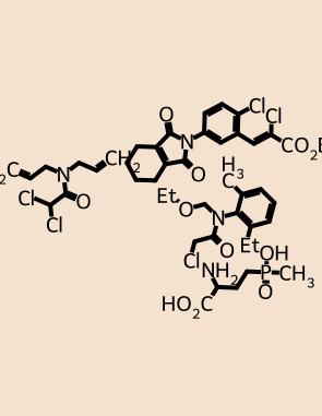 C=CCN(CC=C)C(=O)C(Cl)Cl.CCOC(=O)/C(Cl)=C/c1cc(N2C(=O)C3=C(CCCC3)C2=O)ccc1Cl.CCOCN(C(=O)CCl)c1c(C)cccc1CC.CP(=O)(O)CCC(N)C(=O)O